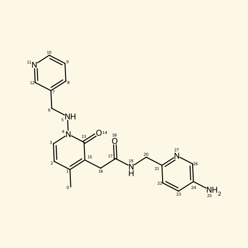 Cc1ccn(NCc2cccnc2)c(=O)c1CC(=O)NCc1ccc(N)cn1